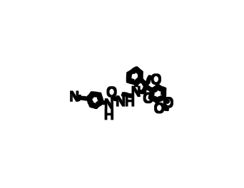 N#Cc1ccc(NC(=O)NCCN2C(=O)C3(COc4cc5c(cc43)OCO5)c3ccccc32)cc1